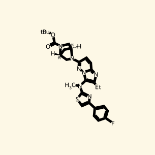 CCc1nc2ccc(N3C[C@H]4C[C@H]3CN4C(=O)OC(C)(C)C)nn2c1N(C)c1nc(-c2ccc(F)cc2)cs1